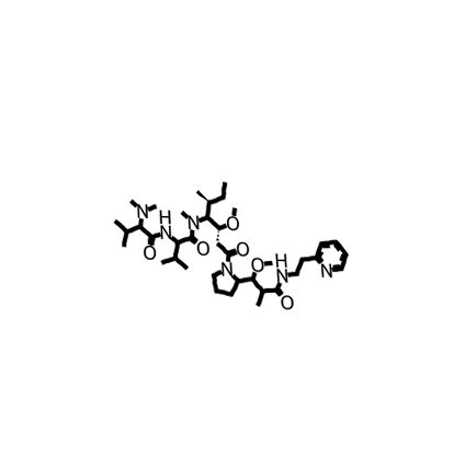 CC[C@H](C)C([C@@H](CC(=O)N1CCCC1C(OC)C(C)C(=O)NCCc1ccccn1)OC)N(C)C(=O)C(NC(=O)C(C(C)C)N(C)C)C(C)C